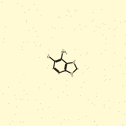 Nc1c(Cl)ccc2c1OCO2